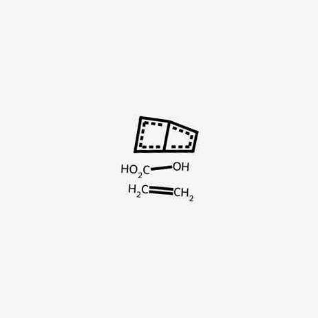 C=C.O=C(O)O.c1cc2ccc1-2